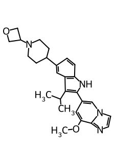 COc1cc(-c2[nH]c3ccc(C4CCN(C5COC5)CC4)cc3c2C(C)C)cn2ccnc12